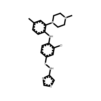 Cc1ccc(Nc2ccc(SNc3cscn3)cc2Cl)c(N2CCN(C)CC2)c1